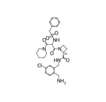 NCc1ccc(Cl)cc1CNC(=O)[C@@H]1CCN1C(=O)C(NS(=O)(=O)Cc1ccccc1)C(=O)N1CCCCC1